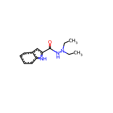 CCN(CC)NC(=O)c1cc2ccccc2[nH]1